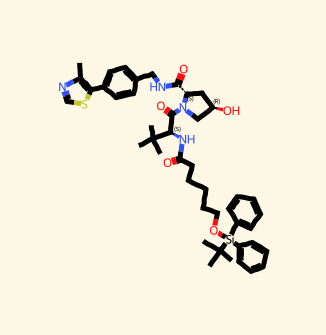 Cc1ncsc1-c1ccc(CNC(=O)[C@@H]2C[C@@H](O)CN2C(=O)[C@@H](NC(=O)CCCCCO[Si](c2ccccc2)(c2ccccc2)C(C)(C)C)C(C)(C)C)cc1